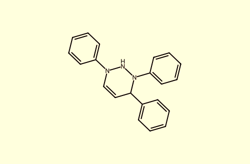 C1=CN(c2ccccc2)NN(c2ccccc2)C1c1ccccc1